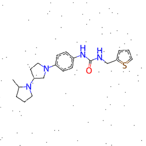 CC1CCCN1C1CCN(c2ccc(NC(=O)NCc3cccs3)cc2)C1